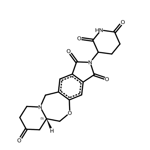 O=C1CCN2Cc3cc4c(cc3OC[C@@H]2C1)C(=O)N(C1CCC(=O)NC1=O)C4=O